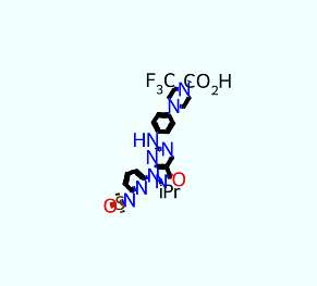 CC(C)n1c(=O)c2cnc(Nc3ccc(N4CCN(C(=O)O)C(C(F)(F)F)C4)cc3)nc2n1-c1cccc(N=S(C)(C)=O)n1